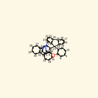 c1ccc2c(c1)Oc1ccccc1C21c2ccccc2-c2cccc(-n3c4ccccc4c4ccccc43)c21